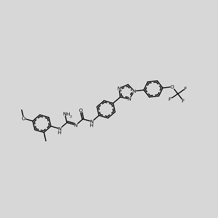 COc1ccc(N/C(N)=N/C(=O)Nc2ccc(-c3ncn(-c4ccc(OC(F)(F)F)cc4)n3)cc2)c(C)c1